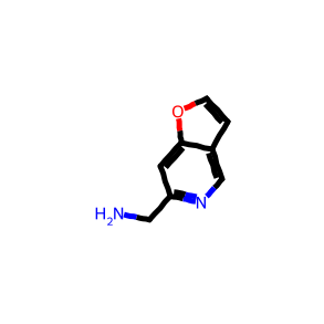 NCc1cc2occc2cn1